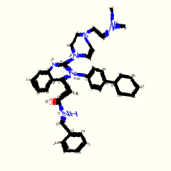 CN(C)CCN1CCN(C2=Nc3ccccc3C(CC(=O)NCc3ccccc3)N2c2ccc(C3CCCCC3)cc2)CC1